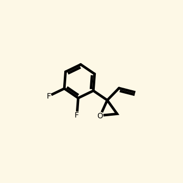 C=CC1(c2cccc(F)c2F)CO1